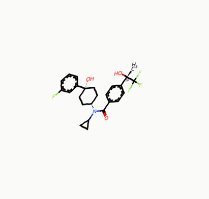 C[C@](O)(c1ccc(C(=O)N(C2CC2)[C@H]2CC[C@](O)(c3cccc(F)c3)CC2)cc1)C(F)(F)F